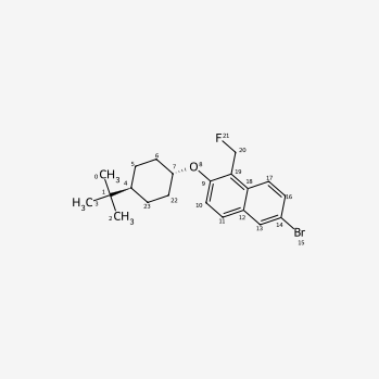 CC(C)(C)[C@H]1CC[C@H](Oc2ccc3cc(Br)ccc3c2CF)CC1